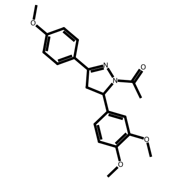 COc1ccc(C2=NN(C(C)=O)C(c3ccc(OC)c(OC)c3)C2)cc1